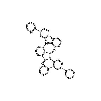 O=C1c2cccc(-n3c4ccccc4c4ccc(-c5ccccn5)cc43)c2C(=O)N1c1ccc(-c2ccccc2)cc1-c1ccccc1